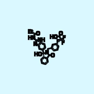 CCC(=O)Nc1nc2cc(C3(O)c4ccccc4C(=O)N3Cc3ccccc3)ccc2[nH]1.O=C(O)C(F)(F)F